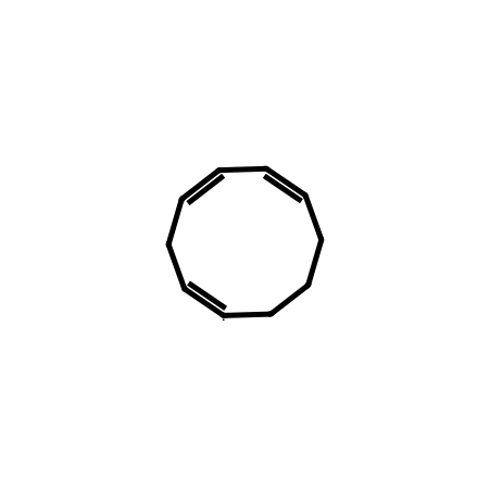 [C]1=CCC=CC=CCCC1